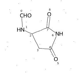 O=CNC1CC(=O)NC1=O